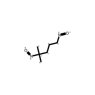 CC(C)(CCCN=O)N=O